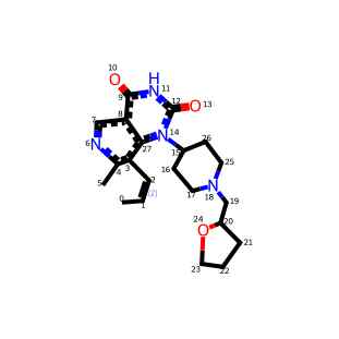 C/C=C\c1c(C)ncc2c(=O)[nH]c(=O)n(C3CCN(CC4CCCO4)CC3)c12